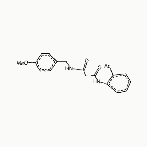 COc1ccc(CNC(=O)CC(=O)Nc2c[c]ccc2C(C)=O)cc1